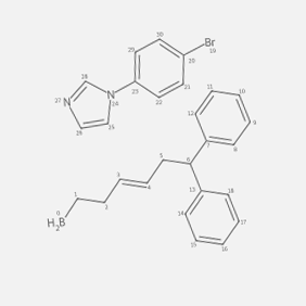 BCCC=CCC(c1ccccc1)c1ccccc1.Brc1ccc(-n2ccnc2)cc1